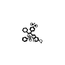 COc1cnc2c(c1)cc(/C(=C/C1CCCCC1)c1ccc(S(C)(=O)=O)cc1)n2S(=O)(=O)c1ccccc1